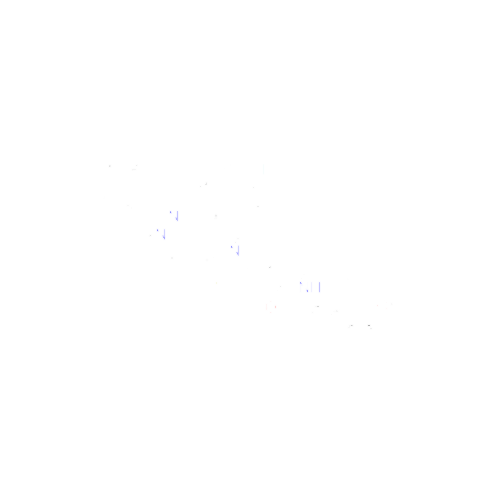 O=C(Cc1csc(-c2cnn(CC3CCCC3)c2-c2ccc(F)cc2)n1)NCC1CCOCC1